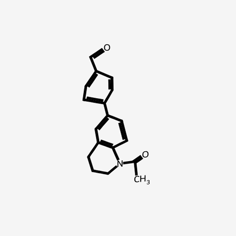 CC(=O)N1CCCc2cc(-c3ccc(C=O)cc3)ccc21